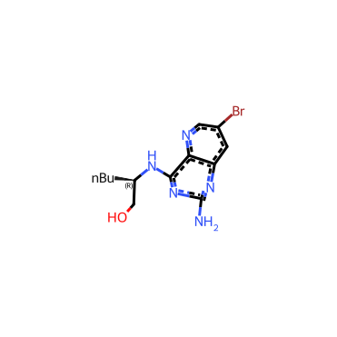 CCCC[C@H](CO)Nc1nc(N)nc2cc(Br)cnc12